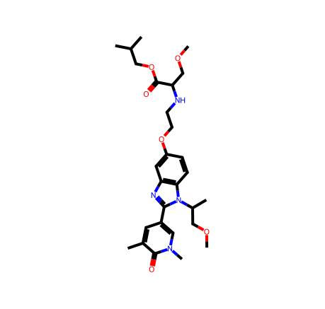 COCC(NCCOc1ccc2c(c1)nc(-c1cc(C)c(=O)n(C)c1)n2C(C)COC)C(=O)OCC(C)C